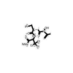 C=C(C)N(O)C(=O)C[C@@H](CC(C)C)C(=O)NC(C(=O)NC)C(CC)(CC)CC